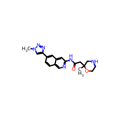 Cn1cc(-c2ccc3cnc(NC(=O)CC4(C)CNCCO4)cc3c2)nn1